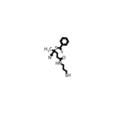 CC(C#N)(CCC(=O)NCCCS)SC(=S)c1ccccc1